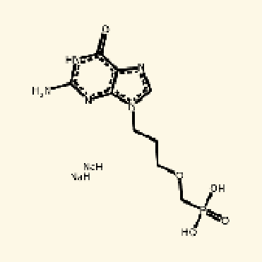 Nc1nc2c(ncn2CCCOCP(=O)(O)O)c(=O)[nH]1.[NaH].[NaH]